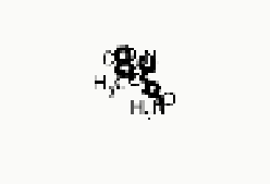 Cc1cc2c(cc1O[C@H](c1ccncc1)c1ccc(C(N)=O)cc1)OCCC2=O